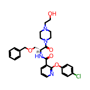 O=C(N[C@H](COCc1ccccc1)C(=O)N1CCN(CCO)CC1)c1cccnc1Oc1ccc(Cl)cc1